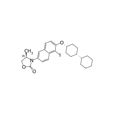 C[C@@H]1COC(=O)N1c1ccc2c(I)c(O[C@H]3CC[C@@H](C4CCCCC4)CC3)ccc2c1